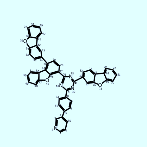 c1cncc(-c2ccc(-c3nc(-c4ccc5c(c4)oc4ccccc45)nc(-c4ccc(-c5ccc6oc7ccccc7c6c5)c5c4oc4ccccc45)n3)cc2)c1